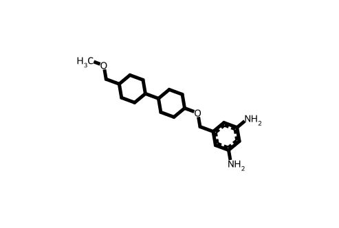 COCC1CCC(C2CCC(OCc3cc(N)cc(N)c3)CC2)CC1